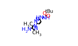 Cc1nn(-c2ccc(NNC(=O)OC(C)(C)C)nn2)c(C)c1N